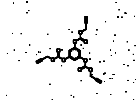 C#CCOC(=O)Oc1cc(OC(=O)OCC#C)cc(OC(=O)OCC#C)c1